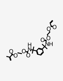 C=CC(=O)OCCOC(=O)NC(C)(C)c1cccc(C(C)(C)NC(=O)OCCOC(=O)C(=C)C)c1